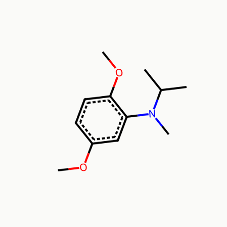 COc1ccc(OC)c(N(C)C(C)C)c1